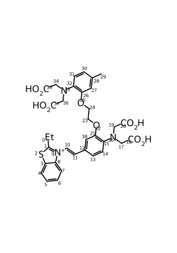 CCc1sc2ccccc2[n+]1C=Cc1ccc(N(CC(=O)O)CC(=O)O)c(OCCOc2cc(C)ccc2N(CC(=O)O)CC(=O)O)c1